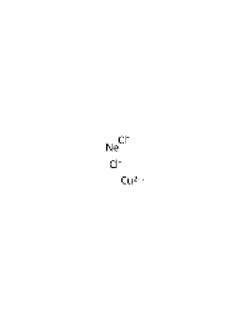 [Cl-].[Cl-].[Cu+2].[Ne]